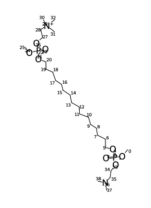 COP(=O)(OCCCCCCCCCCCCCCCCOP(=O)(OC)OCC[N+](C)(C)C)OCCN(C)C